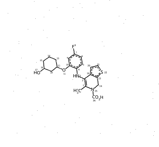 CC1=C(Nc2ccc(F)cc2OC2CCCC(O)C2)c2ccsc2CN1C(=O)O